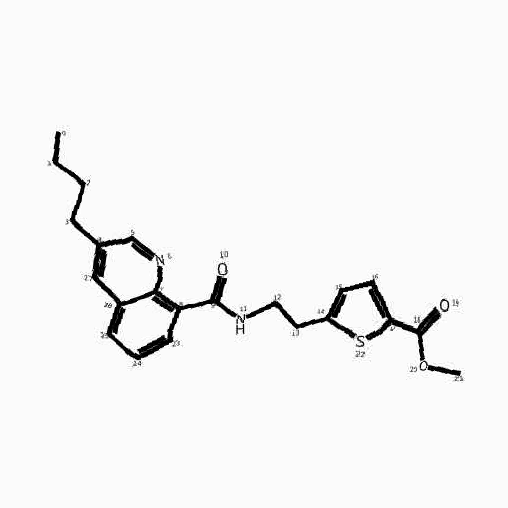 CCCCc1cnc2c(C(=O)NCCc3ccc(C(=O)OC)s3)cccc2c1